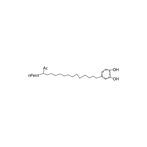 CCCCCC(CCCCCCCCCCCCCc1ccc(O)c(O)c1)C(C)=O